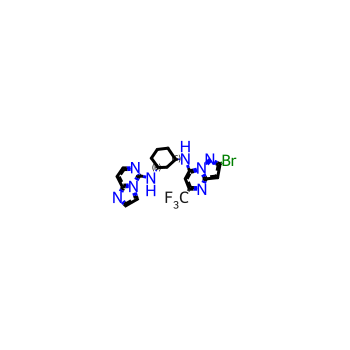 FC(F)(F)c1cc(N[C@H]2CCC[C@@H](Nc3nccc4nccn34)C2)n2nc(Br)cc2n1